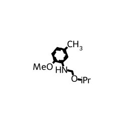 COc1ccc(C)cc1NCOC(C)C